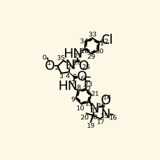 CO[C@@H]1C[C@H](C(=O)Nc2ccc(N3C(=O)N(C)CC3(C)C)cc2F)N(C(=O)Nc2ccc(Cl)cc2)C1